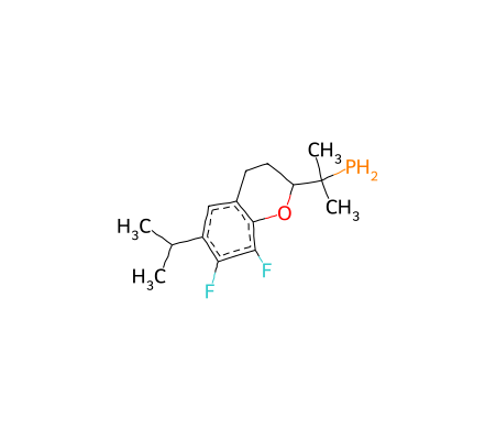 CC(C)c1cc2c(c(F)c1F)OC(C(C)(C)P)CC2